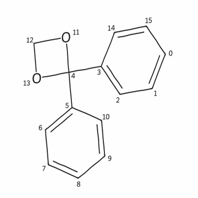 c1ccc(C2(c3ccccc3)OCO2)cc1